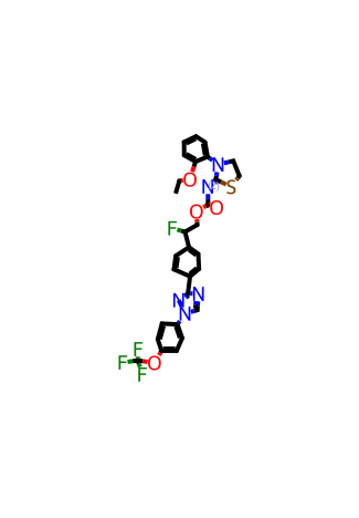 CCOc1ccccc1N1CCS/C1=N\C(=O)OCC(F)c1ccc(-c2ncn(-c3ccc(OC(F)(F)F)cc3)n2)cc1